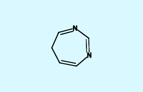 C1=CN=CN=CC1